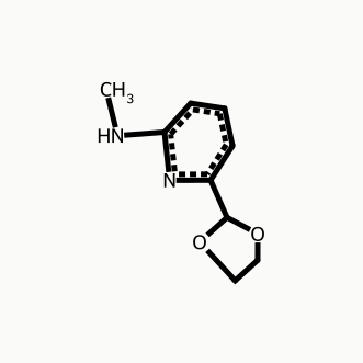 CNc1cccc(C2OCCO2)n1